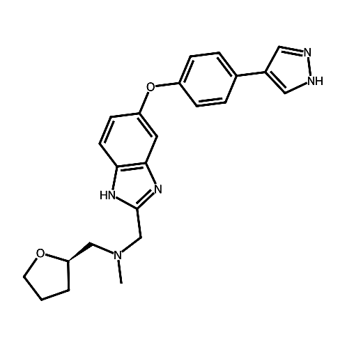 CN(Cc1nc2cc(Oc3ccc(-c4cn[nH]c4)cc3)ccc2[nH]1)C[C@H]1CCCO1